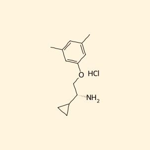 Cc1cc(C)cc(OC[C@H](N)C2CC2)c1.Cl